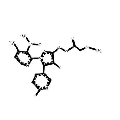 COCC(=O)OOc1nn(-c2nccc(C)c2[S+](C)[O-])c(-c2ccc(F)nc2)c1Cl